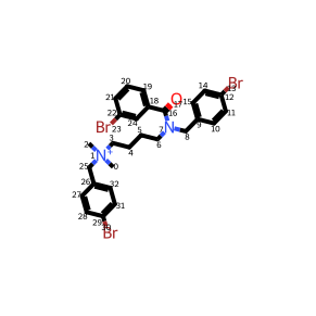 C[N+](C)(CCCCN(Cc1ccc(Br)cc1)C(=O)c1cccc(Br)c1)Cc1ccc(Br)cc1